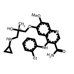 CCc1ccccc1Nc1c(C(N)=O)cnc2cc(OC)c(OC[C@@](C)(O)CNC3CC3)cc12